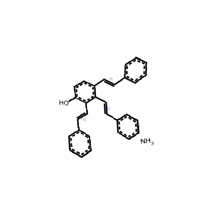 N.Oc1ccc(/C=C/c2ccccc2)c(/C=C/c2ccccc2)c1/C=C/c1ccccc1